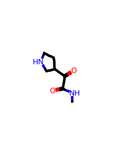 CNC(=O)C(=O)C1CCNC1